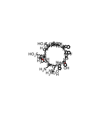 CCCC[C@H]1C(=O)NC(C)(C)C(=O)N[C@@H](CC2Cc3ccccc3C2)C(=O)N[C@@H](Cc2ccc(F)cc2)C(=O)N2CCC[C@H]2C(=O)N[C@@H](Cc2ccc(O)cc2)C(=O)N[C@@H](Cc2ccc(O)cc2)C(=O)N[C@@H](CCCNC(N)=O)C(=O)N[C@H](CCCCN)C(=O)N[C@@H](CC2CCCCC2)C(=O)N[C@H](C(=O)N[C@H](CCC(=O)O)C(N)=O)CSCC(=O)N(C)[C@@H](CCC(=O)O)C(=O)N1C